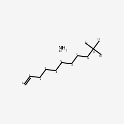 C=CCCCCCCCC(C)(C)C.N